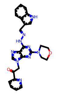 O=C(Cn1cnc2c(NN=Cc3c[nH]c4ccccc34)nc(N3CCOCC3)nc21)c1ccccn1